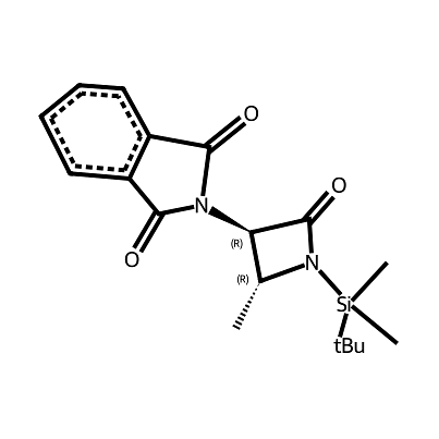 C[C@@H]1[C@@H](N2C(=O)c3ccccc3C2=O)C(=O)N1[Si](C)(C)C(C)(C)C